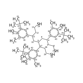 Cc1cc(C(CCS)CC(CC(CCS)c2cc(C)c(O)c(C(C)(C)C)c2)C(CCS)c2cc(C)c(O)c(C(C)(C)C)c2)cc(C(C)(C)C)c1O